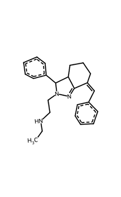 CCNCCN1N=C2/C(=C\c3ccccc3)CCCC2C1c1ccccc1